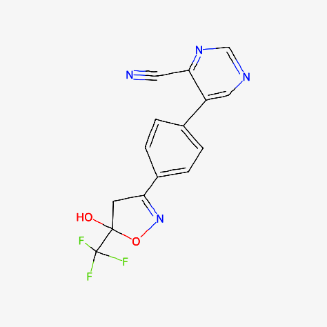 N#Cc1ncncc1-c1ccc(C2=NOC(O)(C(F)(F)F)C2)cc1